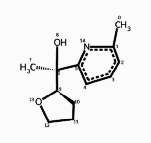 Cc1cccc([C@](C)(O)[C@H]2CCCO2)n1